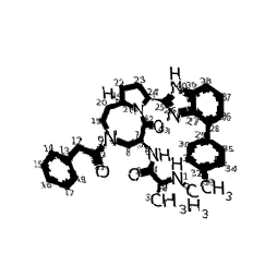 CN[C@@H](C)C(=O)N[C@H]1CN(C(=O)Cc2ccccc2)CC[C@H]2CC[C@@H](c3nc4c(-c5ccc(C)cc5)cccc4[nH]3)N2C1=O